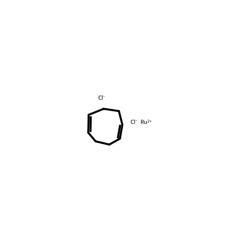 C1=CCCC=CCC1.[Cl-].[Cl-].[Ru+2]